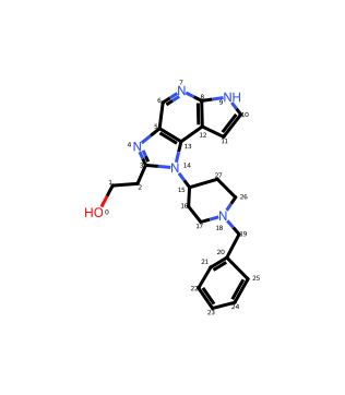 OCCc1nc2cnc3[nH]ccc3c2n1C1CCN(Cc2ccccc2)CC1